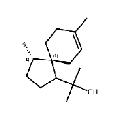 CC1=CC[C@@]2(CC1)C(C(C)(C)O)CC[C@@H]2C